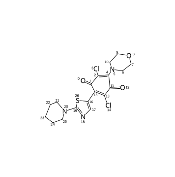 O=C1C(Cl)=C(N2CCOCC2)C(=O)C(Cl)=C1c1cnc(N2CCCCC2)s1